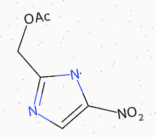 CC(=O)OCC1=NC=C([N+](=O)[O-])[N]1